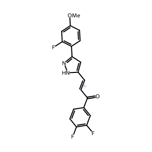 COc1ccc(-c2cc(/C=C/C(=O)c3ccc(F)c(F)c3)[nH]n2)c(F)c1